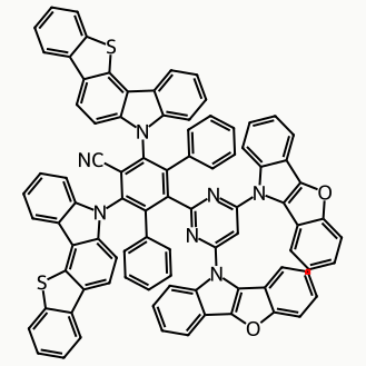 N#Cc1c(-n2c3ccccc3c3c4sc5ccccc5c4ccc32)c(-c2ccccc2)c(-c2nc(-n3c4ccccc4c4oc5ccccc5c43)cc(-n3c4ccccc4c4oc5ccccc5c43)n2)c(-c2ccccc2)c1-n1c2ccccc2c2c3sc4ccccc4c3ccc21